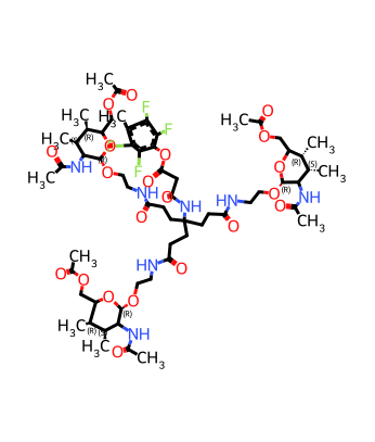 CC(=O)NC1[C@H](OCCNC(=O)CCC(CCC(=O)NCCO[C@@H]2OC(COC(C)=O)[C@H](C)[C@H](C)C2NC(C)=O)(CCC(=O)NCCO[C@@H]2OC(COC(C)=O)[C@H](C)[C@H](C)C2NC(C)=O)NC(=O)CC(=O)Oc2c(F)c(F)c(C)c(F)c2F)OC(COC(C)=O)[C@H](C)[C@@H]1C